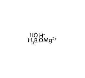 B.[Mg+2].[OH-].[OH-]